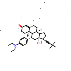 CCN(CC)c1ccc([C@H]2C[C@@]3(C)C(CC[C@@]3(O)C#CC(C)(C)C)[C@@H]3CCC4=CC(=O)CC[C@@H]4C32)cc1